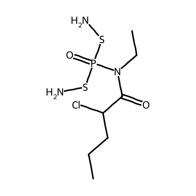 CCCC(Cl)C(=O)N(CC)P(=O)(SN)SN